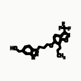 CCCc1c(OCCCn2nnc3cc(CO)ccc32)ccc2c(C(F)(F)F)noc12